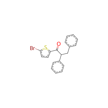 O=C(c1ccc(Br)s1)C(Cc1ccccc1)c1ccccc1